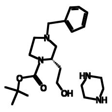 C1CNCCN1.CC(C)(C)OC(=O)N1CCN(Cc2ccccc2)C[C@@H]1CCO